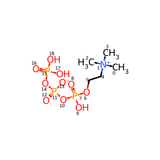 C[N+](C)(C)CCOP(=O)(O)OP(=O)([O-])OP(=O)(O)O